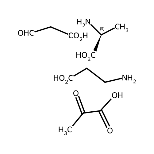 CC(=O)C(=O)O.C[C@H](N)C(=O)O.NCCC(=O)O.O=CCC(=O)O